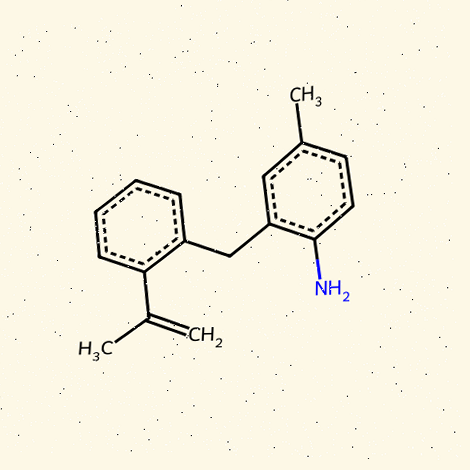 C=C(C)c1ccccc1Cc1cc(C)ccc1N